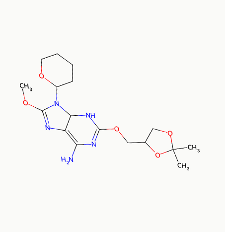 COC1=NC2=C(N)N=C(OCC3COC(C)(C)O3)NC2N1C1CCCCO1